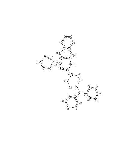 O=C(Nc1nc2ccccc2nc1Oc1ccccc1)N1CCN(C(c2ccccc2)c2ccccc2)CC1